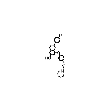 Oc1ccc(C2CCc3cc(O)cc(Oc4ccc(OCCN5CCCCCC5)cc4)c3C2)cc1